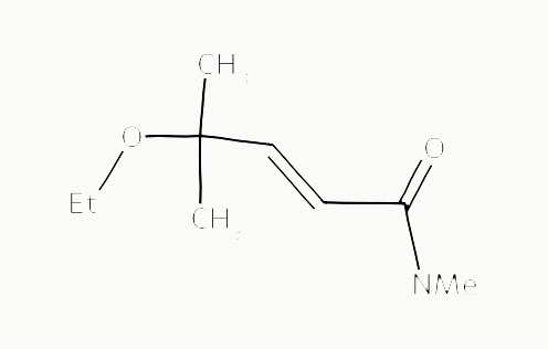 CCOC(C)(C)/C=C/C(=O)NC